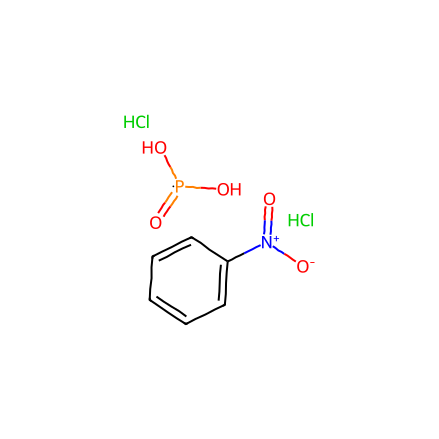 Cl.Cl.O=[N+]([O-])c1ccccc1.O=[P](O)O